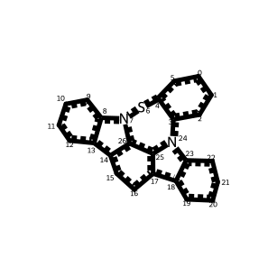 c1ccc2c(c1)sn1c3ccccc3c3ccc4c5ccccc5n2c4c31